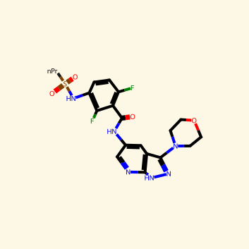 CCCS(=O)(=O)Nc1ccc(F)c(C(=O)Nc2cnc3[nH]nc(N4CCOCC4)c3c2)c1F